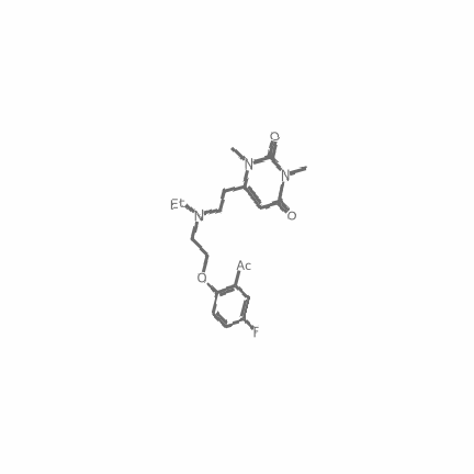 CCN(CCOc1ccc(F)cc1C(C)=O)CCc1cc(=O)n(C)c(=O)n1C